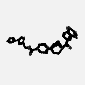 O=C(OCc1cc(-c2ccsc2)cs1)N1CCN(C2CCN(C(=O)c3ccc4[nH]nnc4c3)CC2)CC1